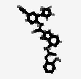 Cc1ccccc1CC(=O)Nc1cccc2cc(C(=O)Nc3ccc(C#N)cc3-c3nnn[nH]3)[nH]c12